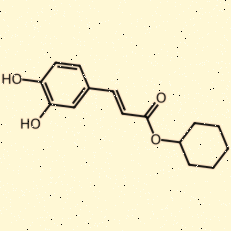 O=C(C=Cc1ccc(O)c(O)c1)OC1CCCCC1